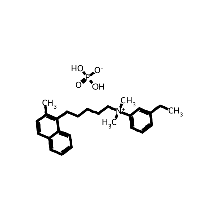 CCc1cccc([N+](C)(C)CCCCCc2c(C)ccc3ccccc23)c1.O=P([O-])(O)O